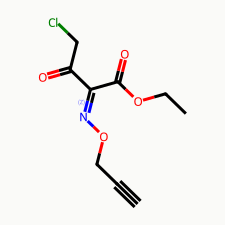 C#CCO/N=C(/C(=O)CCl)C(=O)OCC